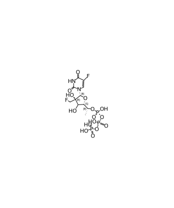 C[C@@H](OP(=O)(O)OP(=O)(O)OP(=O)(O)O)[C@H]1O[C@@H](n2cc(F)c(=O)[nH]c2=O)[C@@](O)(CF)C1O